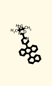 CC1(C)N=C(c2ccc(-c3c4ccccc4c(-c4cccc5ccccc45)c4ccccc34)cn2)OC1(C)C